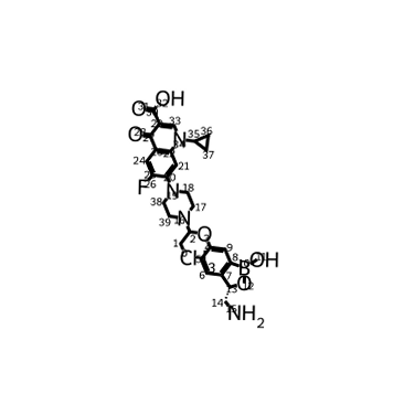 CCC(Oc1ccc2c(c1)B(O)O[C@@H]2CN)N1CCN(c2cc3c(cc2F)c(=O)c(C(=O)O)cn3C2CC2)CC1